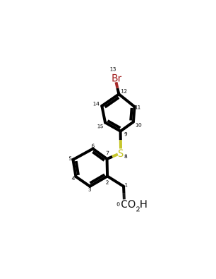 O=C(O)Cc1ccccc1Sc1ccc(Br)cc1